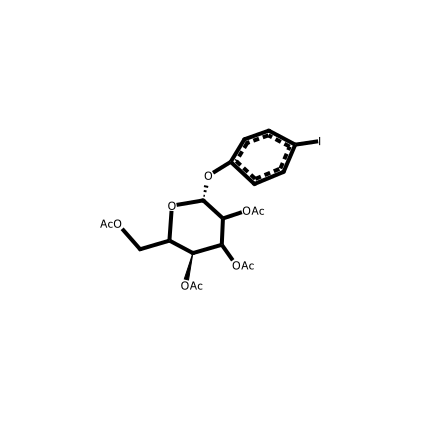 CC(=O)OCC1O[C@H](Oc2ccc(I)cc2)C(OC(C)=O)C(OC(C)=O)[C@H]1OC(C)=O